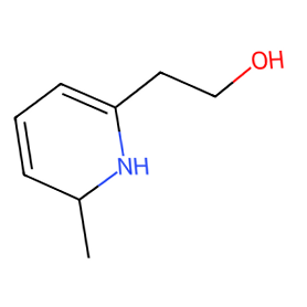 CC1C=CC=C(CCO)N1